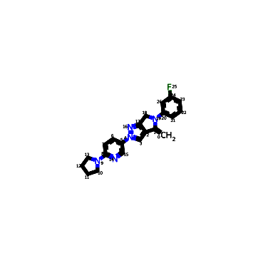 C=C1c2cn(-c3ccc(N4CCCC4)nc3)nc2CN1c1cccc(F)c1